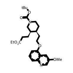 CCOC(=O)CC[C@H]1CN(C(=O)OC(C)(C)C)CC[C@H]1CCOc1cccc2ncc(OC)cc12